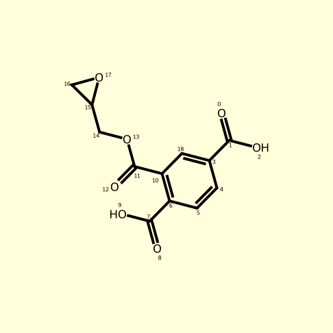 O=C(O)c1ccc(C(=O)O)c(C(=O)OCC2CO2)c1